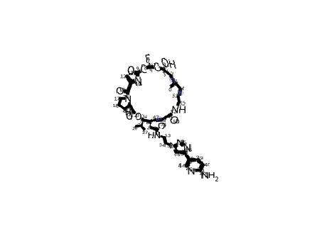 CC1=C\[C@@H](O)C[C@@H](F)Cc2nc(co2)C(=O)N2CCC[C@@H]2C(=O)O[C@H](C(C)C)[C@H](CC(=O)NCCn2cc(-c3ccc(N)nc3)nn2)/C=C/C(=O)NC\C=C\1